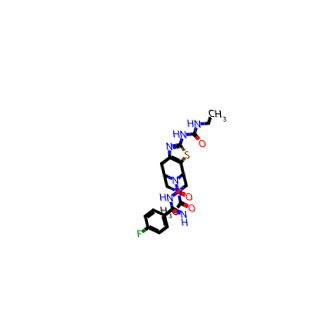 CCNC(=O)Nc1nc2c(s1)C1CN(C(C)=O)CC(C2)N1C(=O)NC(=N)c1ccc(F)cc1